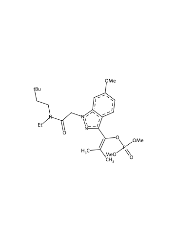 CCN(CCC(C)(C)C)C(=O)Cn1nc(C(OP(=O)(OC)OC)=C(C)C)c2ccc(OC)cc21